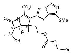 CSc1ncn2cc(C3=C(C(=O)O)N4C(=O)[C@H]([C@@H](C)O)[C@@H]4[C@@]3(C)CCOC(=O)OCC(C)(C)C)sc12